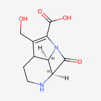 O=C(O)C1=C(CO)C2CCN[C@@H]3C(=O)N1[C@H]23